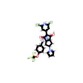 [N-]=[N+]1C2(c3cc(Cl)nc(Cl)c3)C(=O)C13C[C@@H](n1cccc1)C[C@@]3(Cc1ccc(OC(F)(F)F)cc1)C2=O